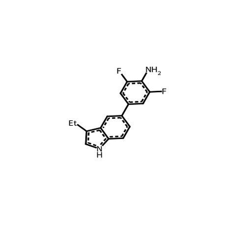 CCc1c[nH]c2ccc(-c3cc(F)c(N)c(F)c3)cc12